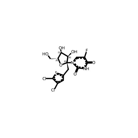 O=c1[nH]c(=O)n([C@]2(Cc3cc(Cl)c(Cl)s3)O[C@H](CO)[C@@H](O)[C@H]2O)cc1F